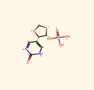 C1CSCO1.O=P(O)(O)O.O=c1nccc[nH]1